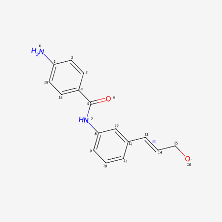 Nc1ccc(C(=O)Nc2cccc(/C=C/C[O])c2)cc1